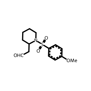 COc1ccc(S(=O)(=O)N2CCCCC2CC=O)cc1